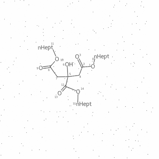 CCCCCCCOC(=O)CC(O)(CC(=O)OCCCCCCC)C(=O)OCCCCCCC